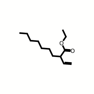 C=CC(CCCCCCC)C(=O)OCC